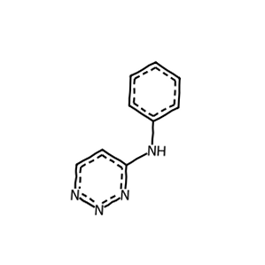 c1ccc(Nc2ccnnn2)cc1